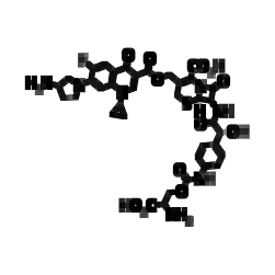 NC1CCN(c2cc3c(cc2F)c(=O)c(C(=O)OCC2=C(C(=O)O)N4C(=O)[C@@H](NC(=O)[C@H](O)c5ccc(NC(=O)OC[C@@H](N)C(=O)O)cc5)[C@H]4SC2)cn3C2CC2)C1